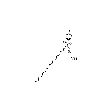 CCCCCCCCCCCCCCCCOC(COCCO)S(=O)(=O)c1ccc(C)cc1